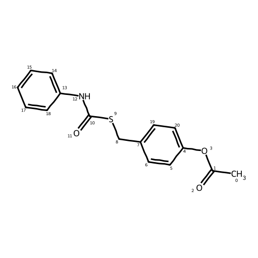 CC(=O)Oc1ccc(CSC(=O)Nc2ccccc2)cc1